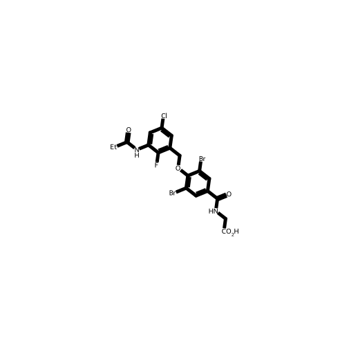 CCC(=O)Nc1cc(Cl)cc(COc2c(Br)cc(C(=O)NCC(=O)O)cc2Br)c1F